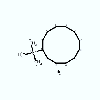 C[N+](C)(C)C1CCCCCCCCCCC1.[Br-]